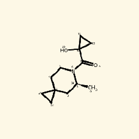 C[C@H]1CC2(CCN1C(=O)C1(O)CC1)CC2